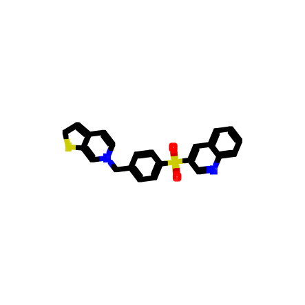 O=S(=O)(c1ccc(CN2C=CC3=CCSC3=C2)cc1)c1cnc2ccccc2c1